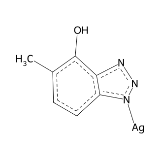 Cc1ccc2c(nn[n]2[Ag])c1O